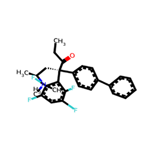 CCC(=O)[C@@](C[C@H](C)N(C)C)(c1ccc(-c2ccccc2)cc1)c1c(F)c(F)cc(F)c1F